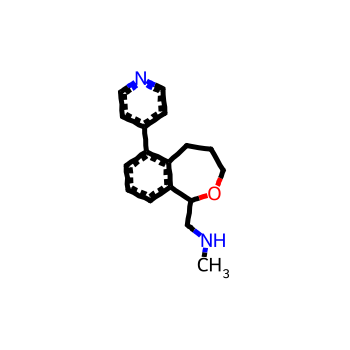 CNCC1OCCCc2c(-c3ccncc3)cccc21